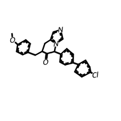 COc1ccc(CC2Cc3cncn3C(c3ccc(-c4ccc(Cl)cc4)cc3)C2=O)cc1